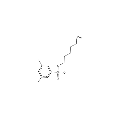 CCCCCCCCCCCCCCCOS(=O)(=O)c1cc(I)cc(I)c1